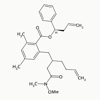 C=CCCC(CC(=O)N(C)OC)Cc1cc(C)cc(C)c1C(=O)O[C@H](CC=C)c1ccccc1